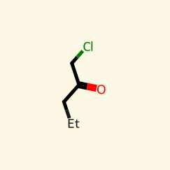 [CH2]CCC(=O)CCl